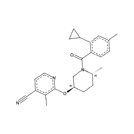 Cc1ccc(C(=O)N2C[C@H](Oc3nccc(C#N)c3C)CC[C@H]2C)c(C2CC2)c1